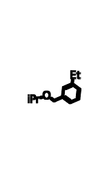 CCc1cccc(COC(C)C)c1